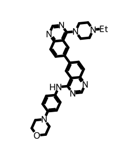 CCN1CCN(c2ncnc3ccc(-c4ccc5ncnc(Nc6ccc(N7CCOCC7)cc6)c5c4)cc23)CC1